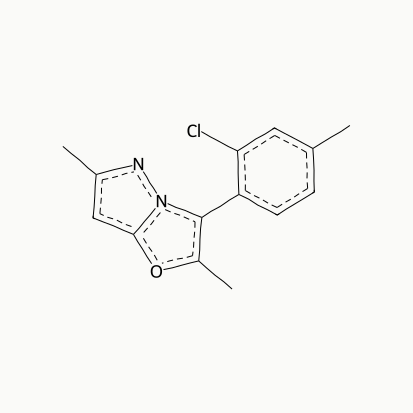 Cc1ccc(-c2c(C)oc3cc(C)nn23)c(Cl)c1